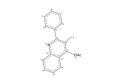 CC(=O)Oc1c(C)c(-c2ccccc2)nc2ccccc12